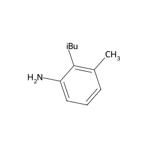 CCC(C)c1c(C)cccc1N